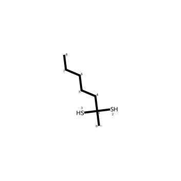 [CH2]C(S)(S)CCCCC